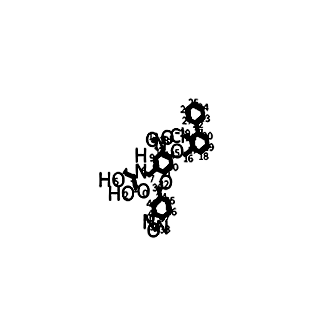 O=C(O)C(CO)NCc1cc([N+](=O)[O-])c(OCc2cccc(-c3ccccc3)c2Cl)cc1OCc1ccc2nonc2c1